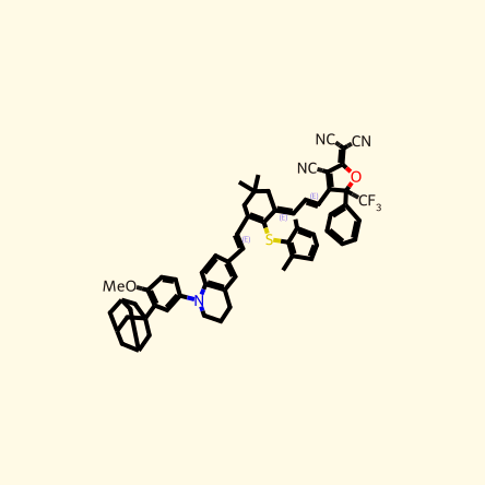 COc1ccc(N2CCCc3cc(/C=C/C4=C(Sc5c(C)cccc5C)C(=C/C=C/C5=C(C#N)C(=C(C#N)C#N)OC5(c5ccccc5)C(F)(F)F)/CC(C)(C)C4)ccc32)cc1C12CC3CC(CC(C3)C1)C2